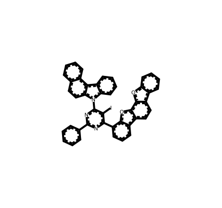 Ic1c(-c2cccc3c2oc2c3ccc3c4ccccc4oc32)nc(-c2ccccc2)nc1-n1c2ccccc2c2c3ccccc3ccc21